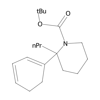 CCCC1(C2=CC=CCC2)CCCCN1C(=O)OC(C)(C)C